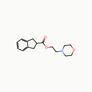 O=C(OCCN1CCOCC1)C1Cc2ccccc2C1